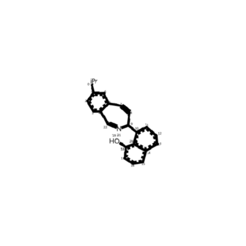 CC(C)c1ccc2c(c1)C#CC(c1cccc3cccc(O)c13)N=C2